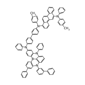 Cc1ccc(N(c2ccccc2)c2cc3c4cccc(N(c5ccc(C)cc5)c5ccc(-c6ccc(N(c7ccccc7)c7ccc8c(c7)N(c7ccccc7)c7cccc9c7B8c7ccc(-c8ccccc8)cc7N9c7cccc(-c8ccccc8)c7)cc6)cc5)c4ccc3c3ccccc23)cc1